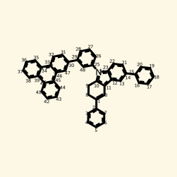 C1=C(c2ccccc2)CCc2c1c1cc(-c3ccccc3)ccc1n2-c1cccc(-c2ccc3c4ccccc4c4ccccc4c3c2)c1